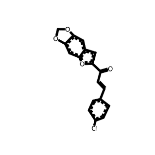 O=C(C=Cc1ccc(Cl)cc1)c1cc2cc3c(cc2o1)OCO3